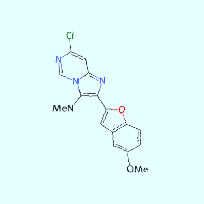 CNc1c(-c2cc3cc(OC)ccc3o2)nc2cc(Cl)ncn12